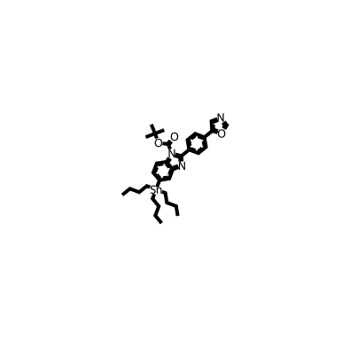 CCC[CH2][Sn]([CH2]CCC)([CH2]CCC)[c]1ccc2c(c1)nc(-c1ccc(-c3cnco3)cc1)n2C(=O)OC(C)(C)C